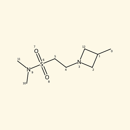 CC1CN(CCS(=O)(=O)N(C)C)C1